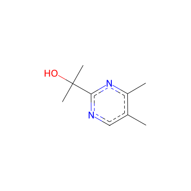 Cc1cnc(C(C)(C)O)nc1C